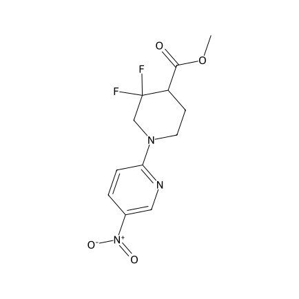 COC(=O)C1CCN(c2ccc([N+](=O)[O-])cn2)CC1(F)F